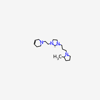 CC1CCCN1CCCN1[C]N(CCN2CC=CCC2)CC1